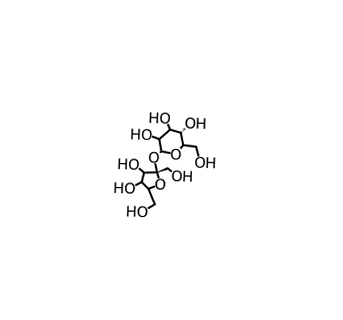 OCC1O[C@@](CO)(O[C@H]2OC(CO)[C@@H](O)C(O)C2O)C(O)C1O